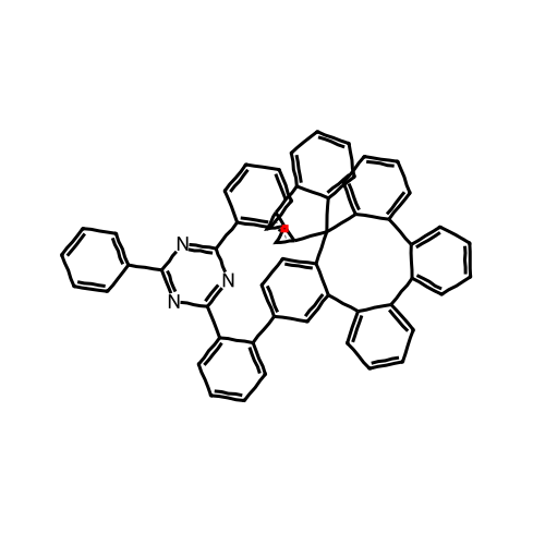 c1ccc(-c2nc(-c3ccccc3)nc(-c3ccccc3-c3ccc4c(c3)-c3ccccc3-c3ccccc3-c3ccccc3C43c4ccccc4-c4ccccc43)n2)cc1